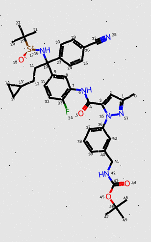 Cc1cc(C(=O)Nc2cc(C(CCC3CC3)(N[S@@+]([O-])C(C)(C)C)c3ccc(C#N)cc3)ccc2F)n(-c2cccc(CNC(=O)OC(C)(C)C)c2)n1